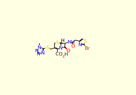 Cn1nnnc1SCC1=C(C(=O)O)N2C(=O)C(NC(=O)Cc3csc(Br)n3)[C@H]2SC1